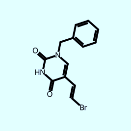 O=c1[nH]c(=O)n(Cc2ccccc2)cc1/C=C/Br